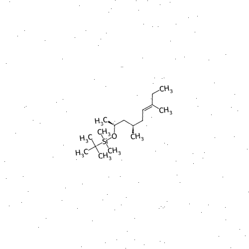 CC/C(C)=C/C[C@@H](C)C[C@H](C)O[Si](C)(C)C(C)(C)C